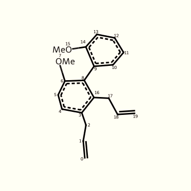 C=CCc1ccc(OC)c(-c2ccccc2OC)c1CC=C